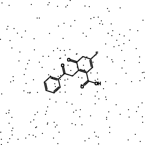 O=C(O)C1=C(CC(=O)c2ccccc2)C(=O)CC(F)=C1